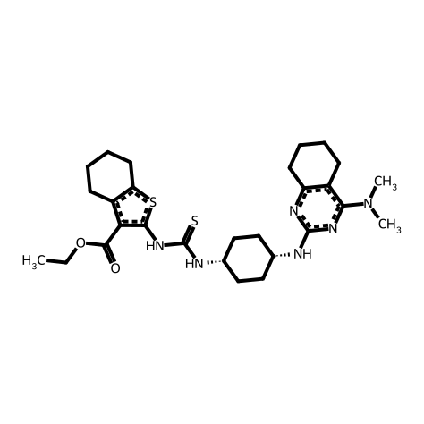 CCOC(=O)c1c(NC(=S)N[C@H]2CC[C@@H](Nc3nc4c(c(N(C)C)n3)CCCC4)CC2)sc2c1CCCC2